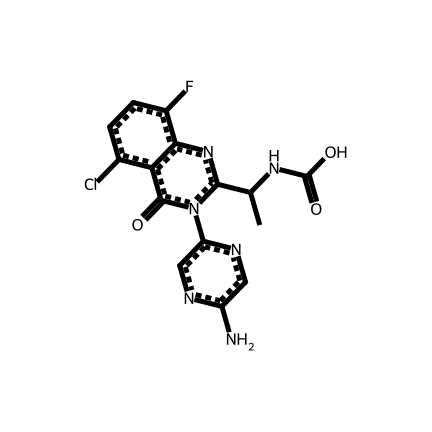 CC(NC(=O)O)c1nc2c(F)ccc(Cl)c2c(=O)n1-c1cnc(N)cn1